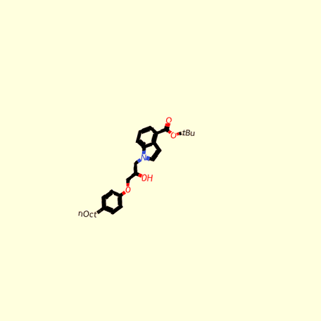 CCCCCCCCc1ccc(OCC(O)Cn2ccc3c(C(=O)OC(C)(C)C)cccc32)cc1